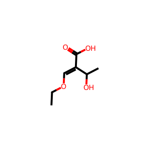 CCO/C=C(/C(=O)O)C(C)O